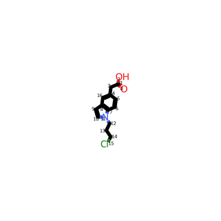 O=C(O)Cc1ccc2c(ccn2CCCCl)c1